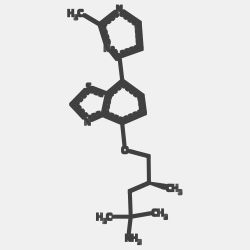 Cc1nccc(-c2ccc(OC[C@@H](C)CC(C)(C)N)c3ncsc23)n1